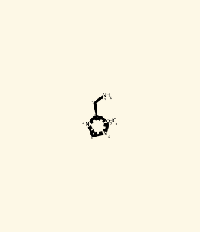 Cl.NCc1ncno1